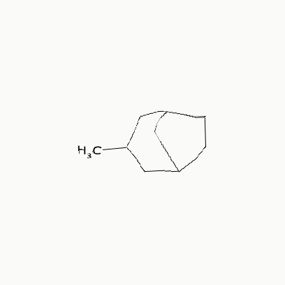 CC1CC2CCC(C1)C2